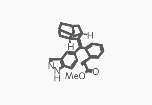 C=C(C(=O)OC)c1ccccc1C(c1ccc2[nH]ncc2c1)=C1[C@H]2CC3CC(C2)C[C@@H]1C3